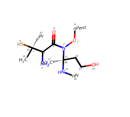 CCCCCON(C(=O)C(N)[C@@](C)(S)C(C)C)[C@@](CCO)(NCCC)C(=O)O